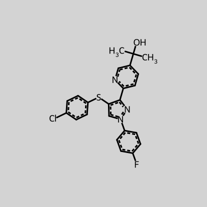 CC(C)(O)c1ccc(-c2nn(-c3ccc(F)cc3)cc2Sc2ccc(Cl)cc2)nc1